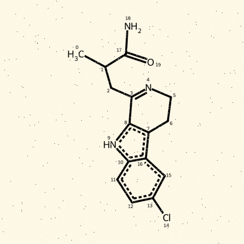 CC(CC1=NCCc2c1[nH]c1ccc(Cl)cc21)C(N)=O